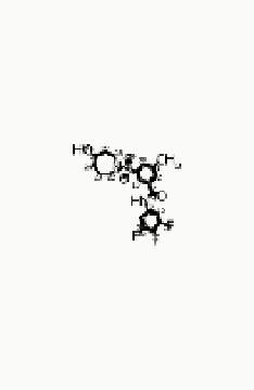 Cc1cc(C(=O)Nc2cc(F)c(F)c(F)c2)cc(S(=O)(=O)N2CCCC(O)CC2)c1